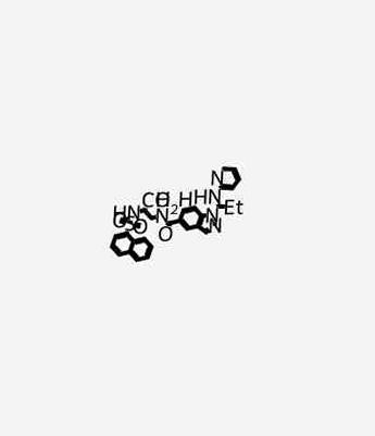 CCC(Nc1ccccn1)n1ncc2cc(C(=O)NCC(NS(=O)(=O)c3cccc4ccccc34)C(=O)O)ccc21